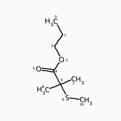 CCCOC(=O)C(C)(C)SC